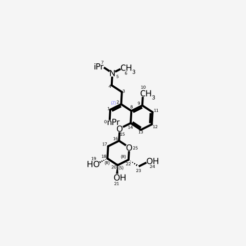 CCC/C=C(/CCN(C)C(C)C)c1c(C)cccc1OC1C[C@@H](O)[C@H](O)[C@@H](CO)O1